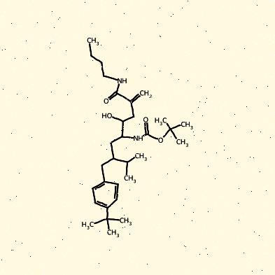 C=C(CC(O)C(CC(Cc1ccc(C(C)(C)C)cc1)C(C)C)NC(=O)OC(C)(C)C)C(=O)NCCCC